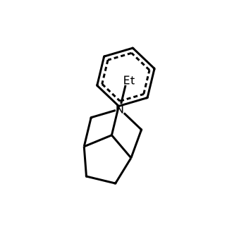 CCN1CC2CCC(C1)C2c1ccccc1